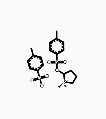 Cc1ccc(S(=O)(=O)OC2CCC[S@@+]2C)cc1.Cc1ccc(S(=O)(=O)[O-])cc1